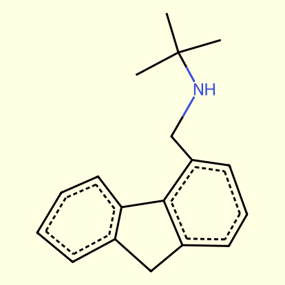 CC(C)(C)NCc1cccc2c1-c1ccccc1C2